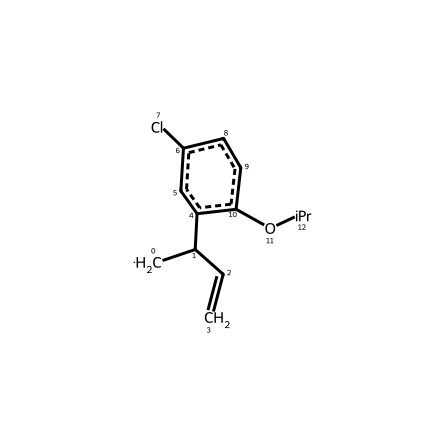 [CH2]C(C=C)c1cc(Cl)ccc1OC(C)C